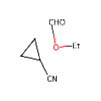 CCOC=O.N#CC1CC1